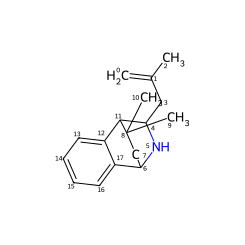 C=C(C)CC1NC2CC(C)(C)C1c1ccccc12